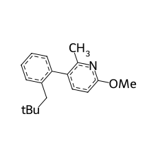 COc1ccc(-c2ccccc2CC(C)(C)C)c(C)n1